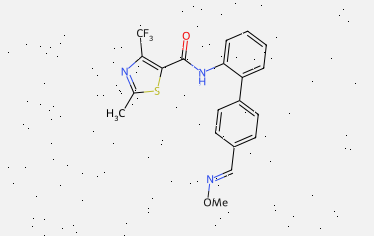 CO/N=C/c1ccc(-c2ccccc2NC(=O)c2sc(C)nc2C(F)(F)F)cc1